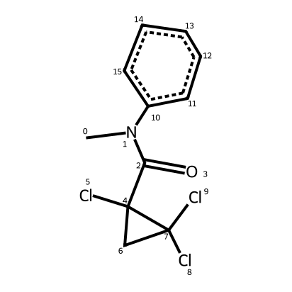 CN(C(=O)C1(Cl)CC1(Cl)Cl)c1ccccc1